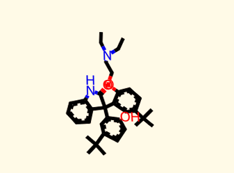 CCN(CC)CCOc1ccc(C(C)(C)C)cc1C1(c2cc(C(C)(C)C)ccc2O)C(=O)Nc2ccccc21